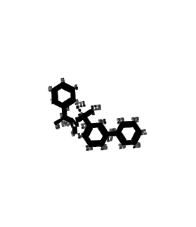 C[C@@H](c1ccccc1)N(C)[C@@](C)(I)c1cccc(-c2ccccc2)c1